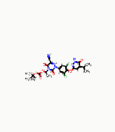 CC(C)c1cc(Oc2c(Cl)cc(-n3nc(C#N)c(=O)n(C(C)OC(=O)OC(C)(C)C)c3=O)cc2Cl)n[nH]c1=O